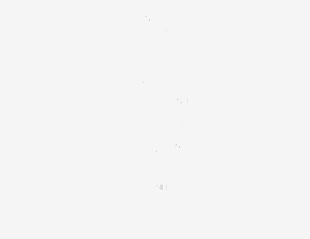 COC(=O)[C@H](C[C@@H]1CCNC1=O)NC(=O)[C@H](CC1CC1)NC(=O)c1cc2c(OC)cccc2[nH]1